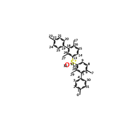 Cc1ccc(-c2c(C)ccc([S+]([O-])c3ccc(C)c(-c4ccc(C)cc4)c3C)c2C)cc1